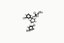 CC(C)(C)OC(=O)NC[C@]1(c2cccc(Cl)c2)CC[C@@H](Oc2ccc(Br)nn2)CC1